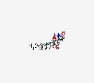 CC1CC2(CC=C(Cc3cc4c(cc3F)C(=O)C(C3CCC(=O)NC3=O)=CC4=O)CC2)C1